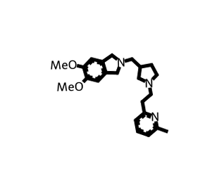 COc1cc2c(cc1OC)CN(CC1CCN(CCc3cccc(C)n3)C1)C2